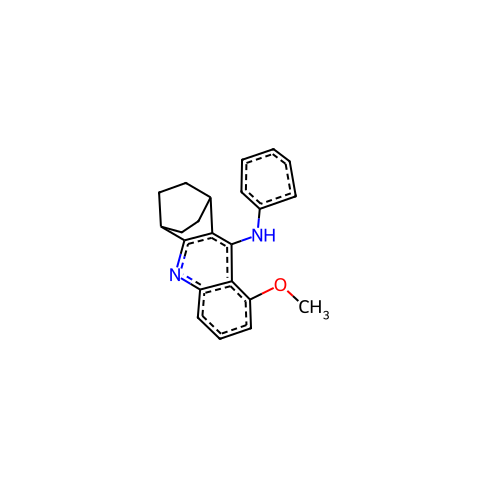 COc1cccc2nc3c(c(Nc4ccccc4)c12)C1CCC3CC1